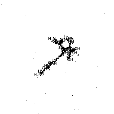 CC[C@H](C)[C@@H]1NC(=O)CNC(=O)[C@H](NC(=O)[C@@H](NC(=O)[C@@H]2C[C@@H](O)CN2)[C@@H](C)[C@@H](O)CO)Cc2c([nH]c3cc(OCCCCCCNC(=O)CNC(=O)CNC(=O)CNC(=O)CNC(=O)CN)ccc23)[S+]([O-])C[C@@H](C(=O)N[C@@H](CC(N)=O)C(=O)I)NC(=O)CNC1=O